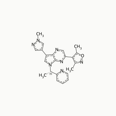 Cc1noc(C)c1-c1cnc2c(-c3cnn(C)c3)cn([C@@H](C)c3ccccn3)c2n1